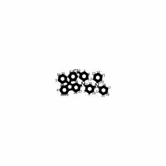 Clc1cccc(N(c2cccc(N(c3ccccc3)c3ccccc3)c2)c2ccc3c(c2)C(c2ccccc2)(c2ccccc2)c2ccccc2-3)c1